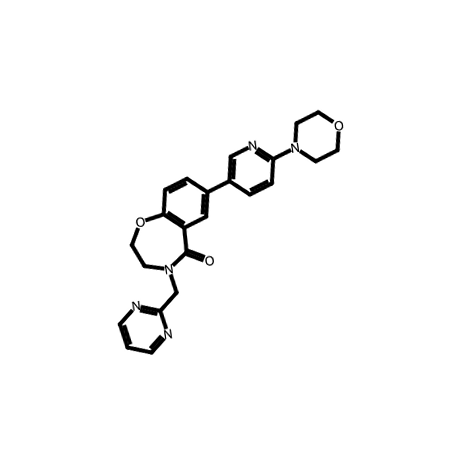 O=C1c2cc(-c3ccc(N4CCOCC4)nc3)ccc2OCCN1Cc1ncccn1